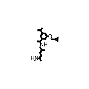 C=C(C)c1cc(OCC2CC2)cc(C(=C)NC/C(C)=C/C=C(/C)NC)c1